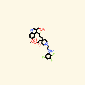 COc1ccc2ncc(CO)c([C@@H](F)CCC3(CC(=O)O)CCN(CCNc4cc(F)cc(F)c4F)CC3)c2c1